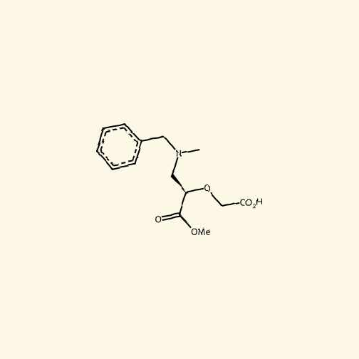 COC(=O)[C@@H](CN(C)Cc1ccccc1)OCC(=O)O